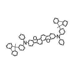 CC1(c2cccc(N(c3ccccc3)c3ccc4c(c3)oc3c4ccc4c3ccc3c5ccc(N(c6ccccc6)c6cccc(C7(C)c8ccccc8-c8ccccc87)c6)cc5oc34)c2)c2ccccc2-c2ccccc21